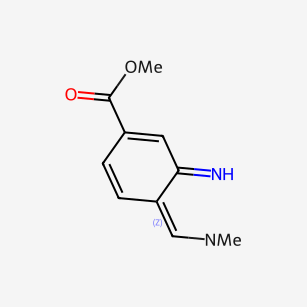 CN/C=C1/C=CC(C(=O)OC)=CC1=N